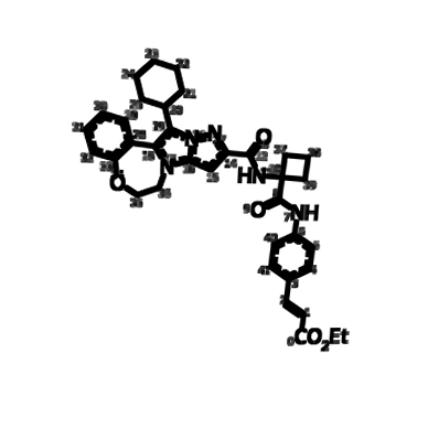 CCOC(=O)/C=C/c1ccc(NC(=O)C2(NC(=O)c3cc4n5c(c(C6CCCCC6)n4n3)-c3ccccc3OCC5)CCC2)cc1